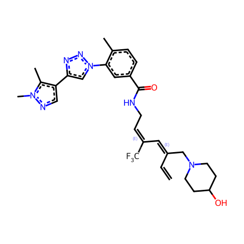 C=C/C(=C\C(=C/CNC(=O)c1ccc(C)c(-n2cc(-c3cnn(C)c3C)nn2)c1)C(F)(F)F)CN1CCC(O)CC1